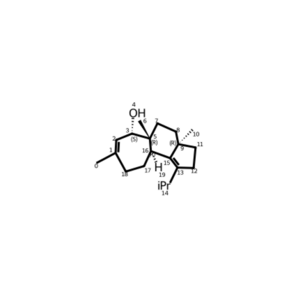 CC1=C[C@H](O)[C@]2(C)CC[C@@]3(C)CCC(C(C)C)=C3[C@H]2CC1